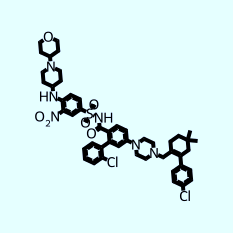 CC1(C)CCC(CN2CCN(c3ccc(C(=O)NS(=O)(=O)c4ccc(NC5CCN(C6CCOCC6)CC5)c([N+](=O)[O-])c4)c(-c4ccccc4Cl)c3)CC2)=C(c2ccc(Cl)cc2)C1